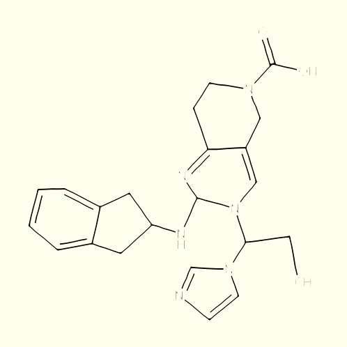 CCC(N1C=C2CN(C(=O)O)CCC2=NC1NC1Cc2ccccc2C1)n1ccnc1